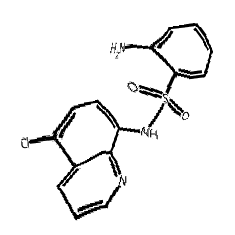 Nc1ccccc1S(=O)(=O)Nc1ccc(Cl)c2cccnc12